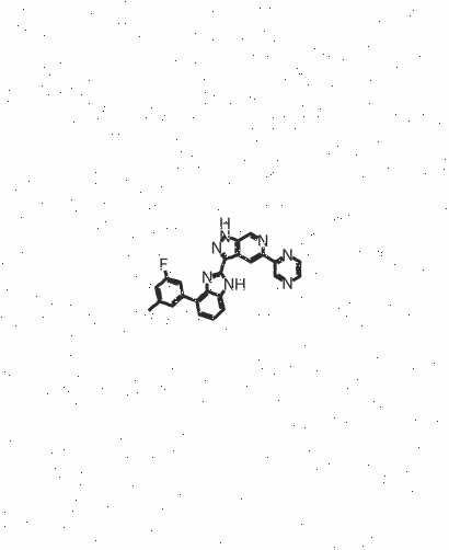 Cc1cc(F)cc(-c2cccc3[nH]c(-c4n[nH]c5cnc(-c6cnccn6)cc45)nc23)c1